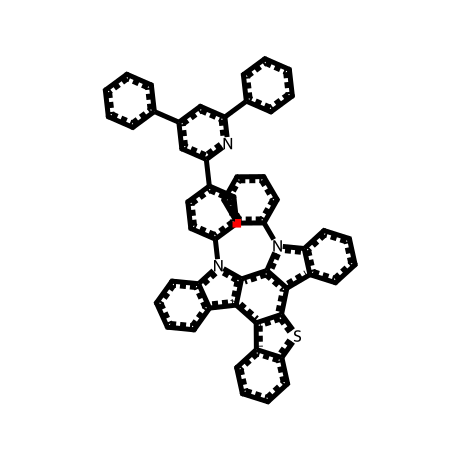 c1ccc(-c2cc(-c3ccccc3)nc(-c3ccc(-n4c5ccccc5c5c6c7ccccc7sc6c6c7ccccc7n(-c7ccccc7)c6c54)cc3)c2)cc1